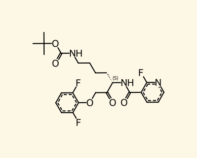 CC(C)(C)OC(=O)NCCCC[C@H](NC(=O)c1cccnc1F)C(=O)COc1c(F)cccc1F